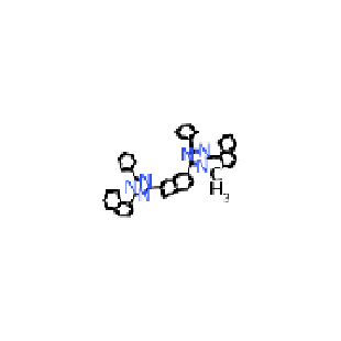 Cc1ccc2ccccc2c1-c1nc(-c2ccccc2)nc(-c2ccc3ccc(-c4nc(-c5ccccc5)nc(-c5cccc6ccccc56)n4)cc3c2)n1